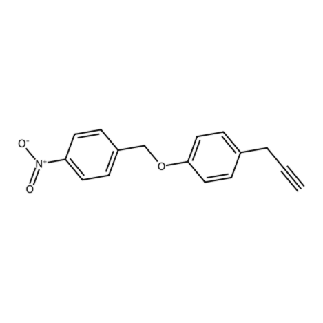 C#CCc1ccc(OCc2ccc([N+](=O)[O-])cc2)cc1